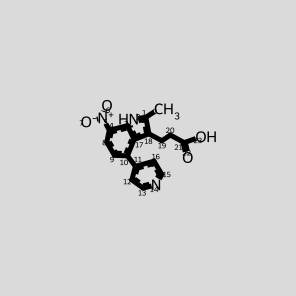 Cc1[nH]c2c([N+](=O)[O-])ccc(-c3ccncc3)c2c1CCC(=O)O